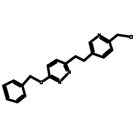 ClCc1ccc(CCc2ccc(OCc3ccccc3)nn2)cn1